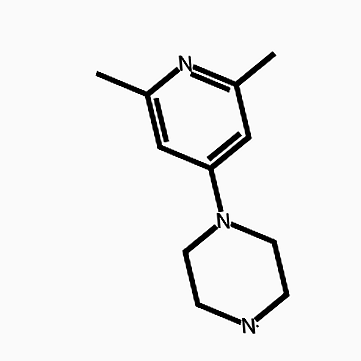 Cc1cc(N2CC[N]CC2)cc(C)n1